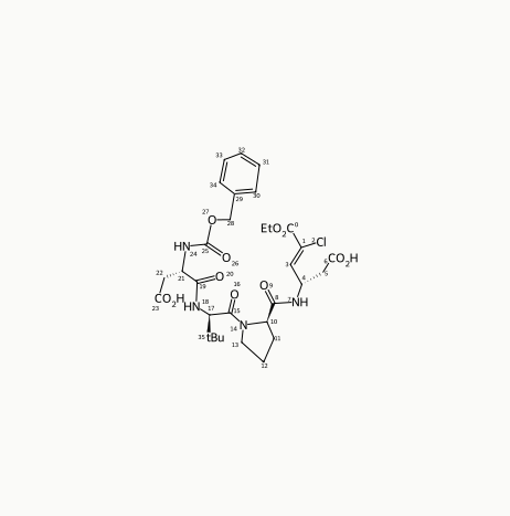 CCOC(=O)/C(Cl)=C/[C@H](CC(=O)O)NC(=O)[C@H]1CCCN1C(=O)[C@H](NC(=O)[C@H](CC(=O)O)NC(=O)OCc1ccccc1)C(C)(C)C